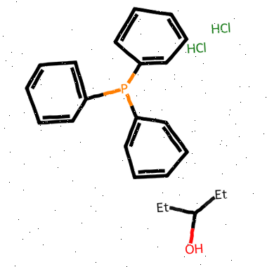 CCC(O)CC.Cl.Cl.c1ccc(P(c2ccccc2)c2ccccc2)cc1